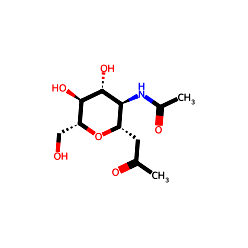 CC(=O)C[C@@H]1O[C@H](CO)[C@@H](O)[C@H](O)[C@H]1NC(C)=O